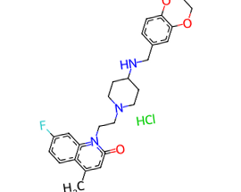 Cc1cc(=O)n(CCN2CCC(NCc3ccc4c(c3)OCCO4)CC2)c2cc(F)ccc12.Cl